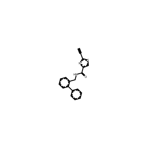 C#Cc1nc(C(=O)NCc2ccccc2-c2ccccc2)cs1